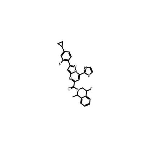 CC1c2ccccc2C(F)CN1C(=O)c1cc(-c2nccs2)n2nc(-c3ccc(C4CC4)cc3F)cc2n1